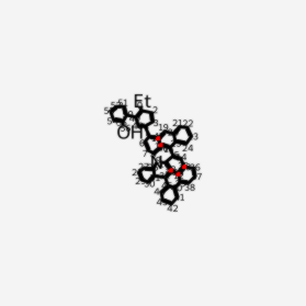 CCc1ccc(-c2ccc(N(c3ccccc3-c3cccc4ccccc34)c3ccccc3-c3cc4ccccc4c4ccccc34)cc2)cc1-c1ccccc1O